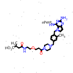 CCCCCNc1nc(N)nc2ccn(Cc3ccc(CN4CCN(C(=O)CCOCCNC(=O)CC(C)C(=O)O)CC4)cc3C)c12